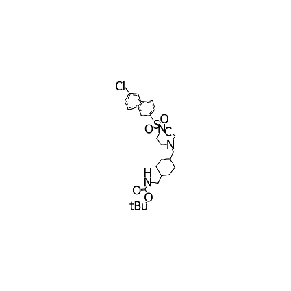 CC(C)(C)OC(=O)NCC1CCC(CN2CCN(S(=O)(=O)c3ccc4cc(Cl)ccc4c3)CC2)CC1